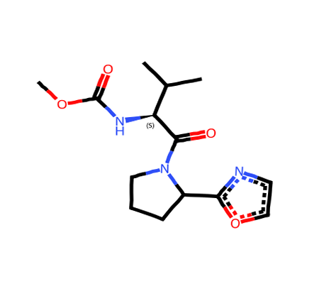 COC(=O)N[C@H](C(=O)N1CCCC1c1ncco1)C(C)C